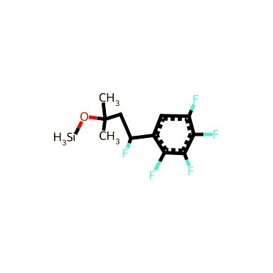 CC(C)(CC(F)c1cc(F)c(F)c(F)c1F)O[SiH3]